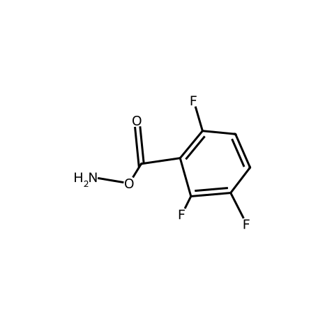 NOC(=O)c1c(F)ccc(F)c1F